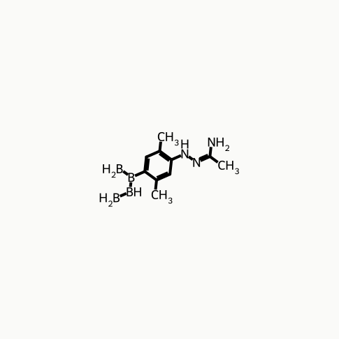 BBB(B)c1cc(C)c(NN=C(C)N)cc1C